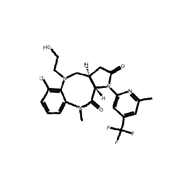 Cc1cc(C(F)(F)F)cc(N2C(=O)C[C@@H]3CN(CCO)c4c(Cl)cccc4N(C)C(=O)[C@H]32)n1